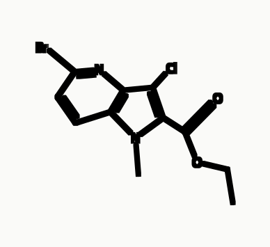 CCOC(=O)c1c(Cl)c2nc(Br)ccc2n1C